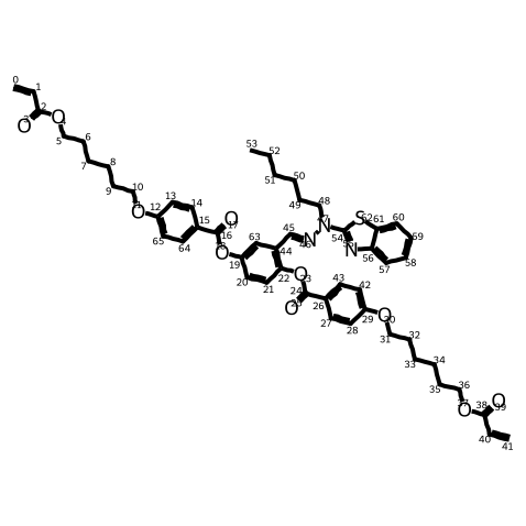 C=CC(=O)OCCCCCCOc1ccc(C(=O)Oc2ccc(OC(=O)c3ccc(OCCCCCCOC(=O)C=C)cc3)c(/C=N/N(CCCCCC)c3nc4ccccc4s3)c2)cc1